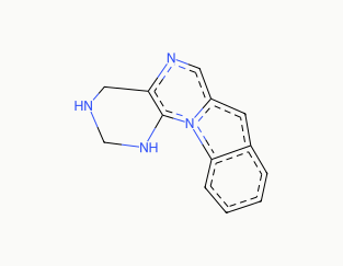 c1ccc2c(c1)cc1cnc3c(n12)NCNC3